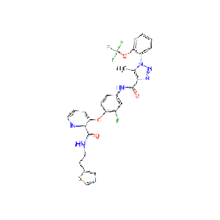 Cc1c(C(=O)Nc2ccc(Oc3cccnc3C(=O)NCCc3cccs3)c(F)c2)nnn1-c1ccccc1OC(F)(F)F